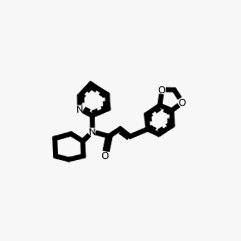 O=C(C=Cc1ccc2c(c1)OCO2)N(c1ccccn1)C1CCCCC1